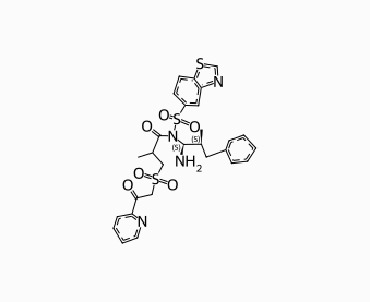 CC(CS(=O)(=O)CC(=O)c1ccccn1)C(=O)N([C@H](N)[C@@H](C)Cc1ccccc1)S(=O)(=O)c1ccc2scnc2c1